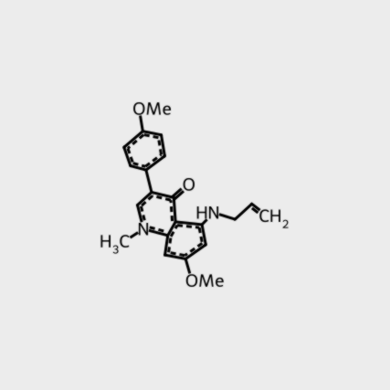 C=CCNc1cc(OC)cc2c1c(=O)c(-c1ccc(OC)cc1)cn2C